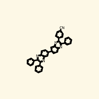 N#Cc1ccc(-c2nc3cc(-c4ccc5nc(-c6ccccc6)c(-c6ccccc6)nc5c4)ccc3nc2-c2ccccc2)cc1